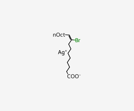 CCCCCCCC/C=C(/Br)CCCCCCCC(=O)[O-].[Ag+]